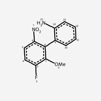 COc1c(F)ccc([N+](=O)[O-])c1-c1ccccc1N